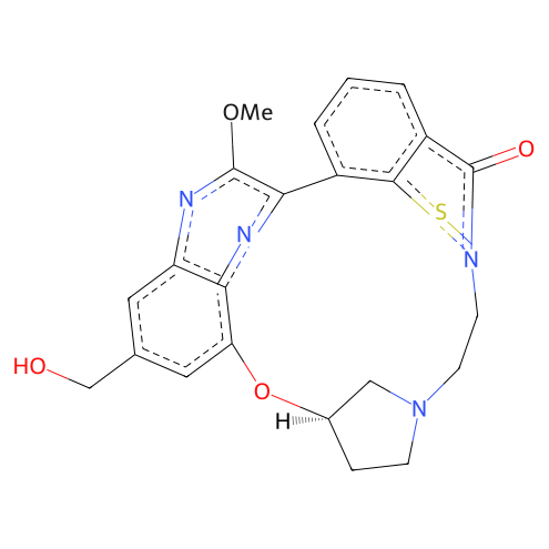 COc1nc2cc(CO)cc3c2nc1-c1cccc2c(=O)n(sc12)CCN1CC[C@H](C1)O3